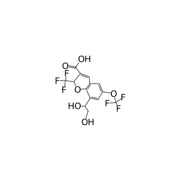 O=C(O)C1=Cc2cc(OC(F)(F)F)cc(C(O)CO)c2OC1C(F)(F)F